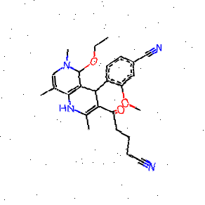 CCOC1C2=C(NC(C)=C(C(=O)CCCC#N)C2c2ccc(C#N)cc2OC)C(C)=CN1C